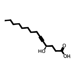 CCCCCCCCC#C[C@H](O)CCC(=O)O